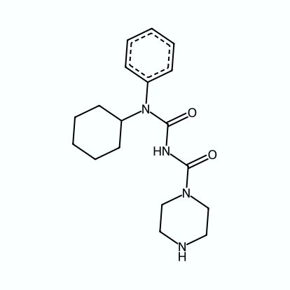 O=C(NC(=O)N(c1ccccc1)C1CCCCC1)N1CCNCC1